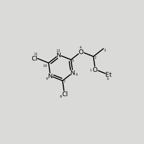 CCOC(C)Oc1nc(Cl)nc(Cl)n1